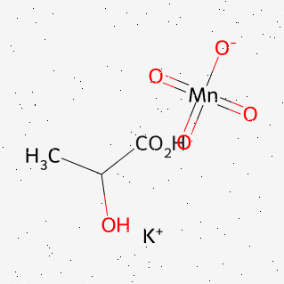 CC(O)C(=O)O.[K+].[O]=[Mn](=[O])(=[O])[O-]